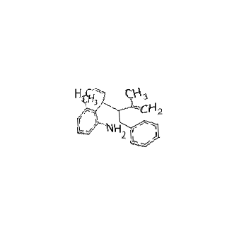 C=C(C)C(Cc1ccccc1)C(/C=C\C)c1c(C)cccc1N